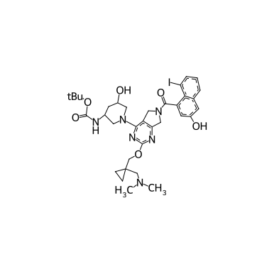 CN(C)CC1(COc2nc3c(c(N4CC(O)CC(NC(=O)OC(C)(C)C)C4)n2)CN(C(=O)c2cc(O)cc4cccc(I)c24)C3)CC1